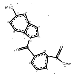 COC(=O)c1cccc(C(=O)n2ccc3cc(OC)ccc32)c1